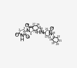 O=C1CCC(N2Cc3cc(CN[C@@H]4CCN(Cc5ccccc5)C(=O)C4)ccc3C2=O)C(=O)N1